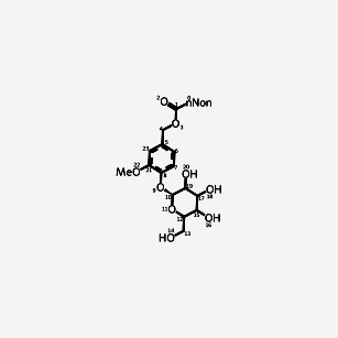 CCCCCCCCCC(=O)OCc1ccc(O[C@@H]2OC(CO)C(O)C(O)C2O)c(OC)c1